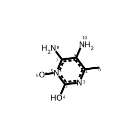 Cc1nc(O)[n+]([O-])c(N)c1N